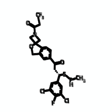 CPS[C@@H](CC(=O)c1ccc2c(c1)COC21CN(C(=O)CC(F)(F)F)C1)c1cc(Cl)c(F)c(Cl)c1